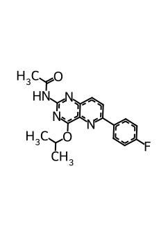 CC(=O)Nc1nc(OC(C)C)c2nc(-c3ccc(F)cc3)ccc2n1